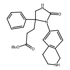 CC(C)COC(=O)CCC1(c2ccccc2)CNC(=O)N1c1ccc2c(c1)CCNC2